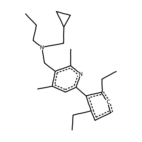 CCCN(Cc1c(C)cc(-c2c(CC)cccc2CC)nc1C)CC1CC1